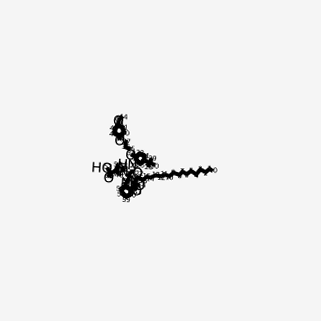 CCCCCCCCCCCCCCCCCCN1C(C(C(=O)Nc2cc(C(C)(C)C)ccc2OCCCOc2ccc(OC)cc2)n2cc(C(=O)O)cn2)=Nc2ccccc2S1(=O)=O